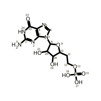 Nc1nc2c(ncn2C2OC(CCOP(=O)(O)O)C(O)C2O)c(=O)[nH]1